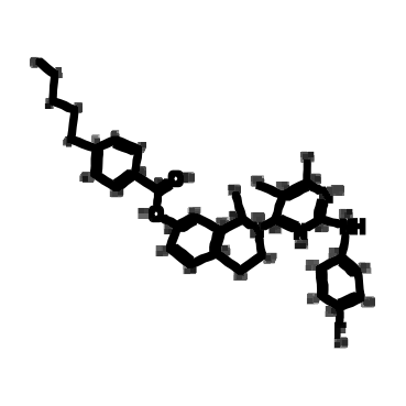 CCCCCc1ccc(C(=O)Oc2ccc3c(c2)C(C)N(c2nc(Nc4ccc(F)cc4)nc(C)c2C)CC3)cc1